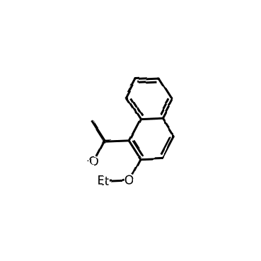 CCOc1ccc2ccccc2c1C(C)[O]